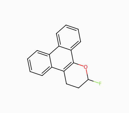 FC1CCc2c(c3ccccc3c3ccccc23)O1